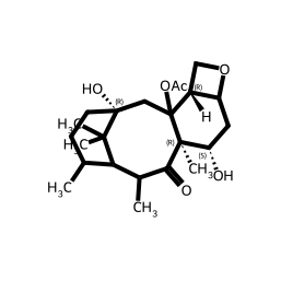 CC(=O)OC12C[C@]3(O)CCC(C)C(C(C)C(=O)[C@]1(C)[C@@H](O)CC1OC[C@H]12)C3(C)C